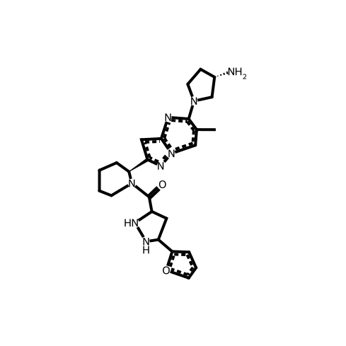 Cc1cn2nc([C@@H]3CCCCN3C(=O)C3CC(c4ccco4)NN3)cc2nc1N1CC[C@H](N)C1